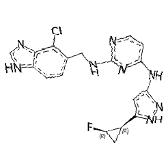 F[C@@H]1C[C@@H]1c1cc(Nc2ccnc(NCc3ccc4[nH]cnc4c3Cl)n2)n[nH]1